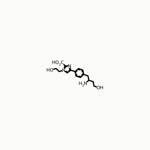 NC(CCO)Cc1ccc(-c2cn(CCO)c(C(=O)O)n2)cc1